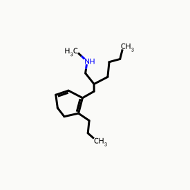 CCCCC(CNC)CC1=C(CCC)CCC=C1